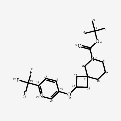 CC(C)(C)OC(=O)N1CCCC2(CC(Oc3ccc(C(F)(F)F)nc3)C2)C1